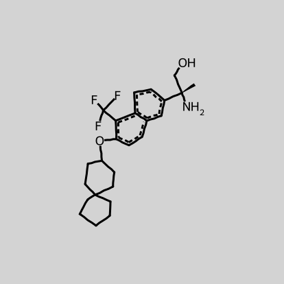 C[C@](N)(CO)c1ccc2c(C(F)(F)F)c(OC3CCC4(CCCCC4)CC3)ccc2c1